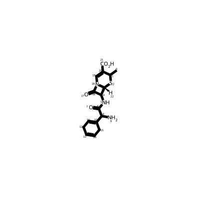 CC1S[C@@H]2C(NC(=O)C(N)C3=CCC=CC3)C(=O)N2C=C1C(=O)O